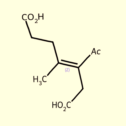 CC(=O)/C(CC(=O)O)=C(/C)CCC(=O)O